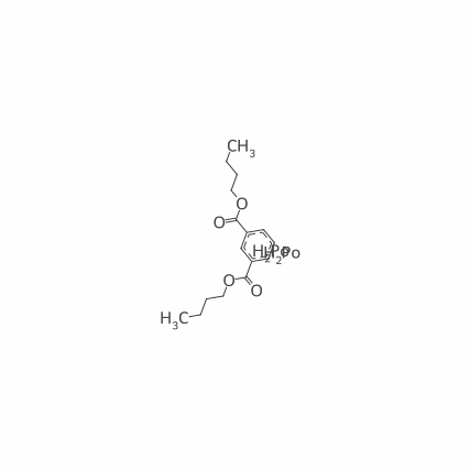 CCCCOC(=O)c1cccc(C(=O)OCCCC)c1.[PoH2].[PoH2]